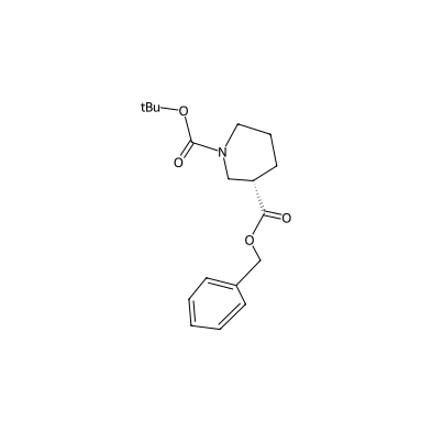 CC(C)(C)OC(=O)N1CCC[C@H](C(=O)OCc2ccccc2)C1